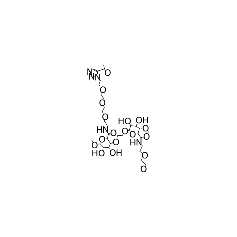 COCCOCCNC(=O)C1O[C@@H](OCCO[C@@H]2C(C(=O)NCCOCCOCCOCCn3nncc3C(C)=O)O[C@@H](OC)[C@@H](O)[C@H]2O)[C@@H](O)[C@@H](O)[C@@H]1OC